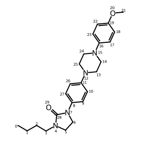 CCCCN1CCN(c2ccc(N3CCN(c4ccc(OC)cc4)CC3)cc2)C1=O